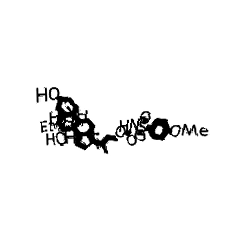 CC[C@H]1[C@@H](O)[C@@H]2[C@H](CC[C@]3(C)[C@@H]([C@H](C)CCOC(=O)NS(=O)(=O)c4ccc(OC)cc4)CC[C@@H]23)[C@@]2(C)CC[C@@H](O)C[C@@H]12